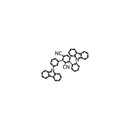 N#Cc1ccc(-c2ccccc2-n2c3ccccc3c3ccccc32)c(C#N)c1-c1cccc(-n2c3ccccc3c3ccccc32)c1